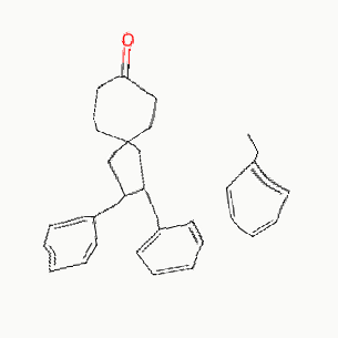 Cc1ccccc1.O=C1CCC2(CC1)CC(c1ccccc1)C(c1ccccc1)C2